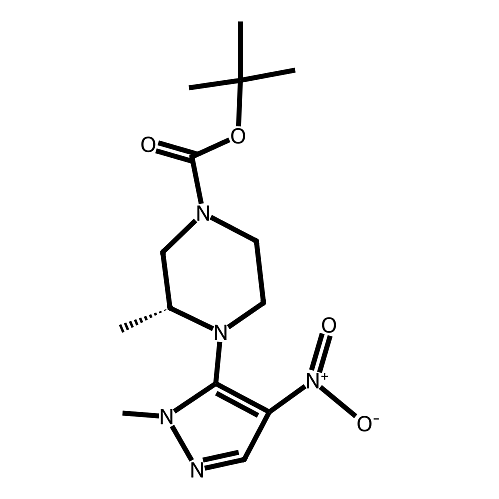 C[C@@H]1CN(C(=O)OC(C)(C)C)CCN1c1c([N+](=O)[O-])cnn1C